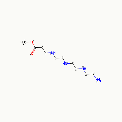 COC(=O)CCNCCNCCNCCN